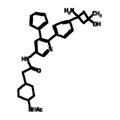 CC(=O)NC1CCC(CC(=O)Nc2cnc(-c3ccc(C4(N)CC(C)(O)C4)cc3)c(-c3ccccc3)c2)CC1